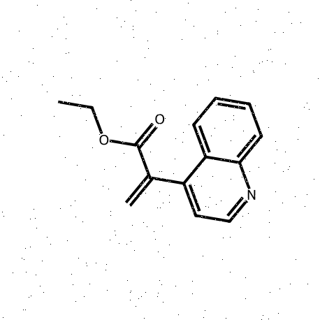 C=C(C(=O)OCC)c1ccnc2ccccc12